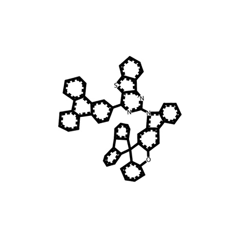 c1ccc2c(c1)Oc1cc3c4ccccc4n(-c4nc(-c5ccc6c7ccccc7c7ccccc7c6c5)c5sc6ccccc6c5n4)c3cc1C21c2ccccc2-c2ccccc21